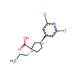 CCC[C@@]1(C(=O)O)CC[C@H](c2cc(Cl)nc(Cl)c2)C1